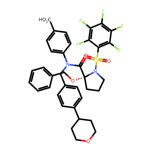 O=C(O)c1ccc(N(Cc2ccc(C3CCOCC3)cc2)C(=O)[C@]2(OCc3ccccc3)CCCN2S(=O)(=O)c2c(F)c(F)c(F)c(F)c2F)cc1